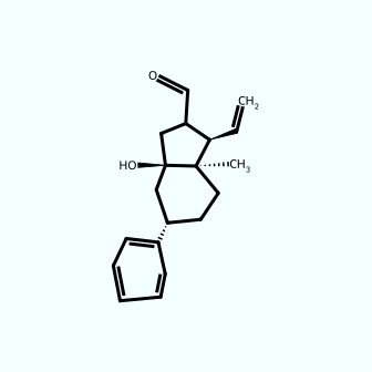 C=C[C@@H]1C(C=O)C[C@@]2(O)C[C@@H](c3ccccc3)CC[C@]12C